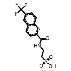 O=C(NCCS(=O)(=O)O)c1ccc2cc(C(F)(F)F)ccc2n1